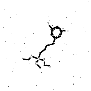 CCO[Si](CCCCc1cc(F)cc(F)c1)(OC)OCC